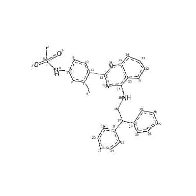 Cc1cc(NS(C)(=O)=O)ccc1-c1nc(NCC(c2ccccc2)c2ccccc2)c2ccccc2n1